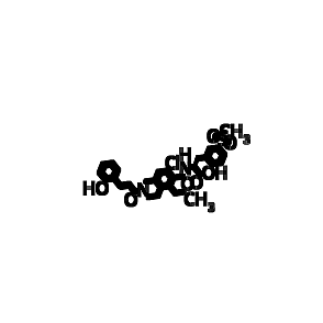 CCCc1c2c(cc(Cl)c1C(=O)N[C@@H](Cc1cccc(S(C)(=O)=O)c1)C(=O)O)CN(C(=O)/C=C/c1ccccc1O)CC2